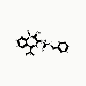 CC(C)C1=NC(NC(=O)OCc2ccccc2)C(=O)N(C)c2ccccc21